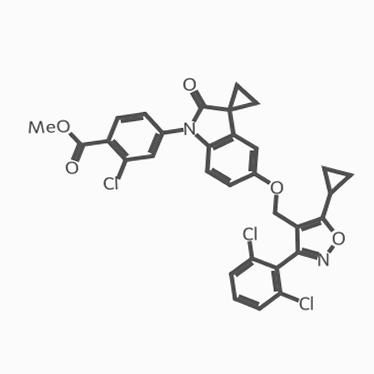 COC(=O)c1ccc(N2C(=O)C3(CC3)c3cc(OCc4c(-c5c(Cl)cccc5Cl)noc4C4CC4)ccc32)cc1Cl